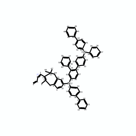 C=C/C=C\C1=C(C)Cc2ccc(N(c3ccc(-c4ccccc4)cc3)c3ccc(-c4ccc(N(c5ccccc5)c5ccc(-c6ccccc6)cc5)cc4)c(-c4ccccc4)c3)cc2CC1(C)C